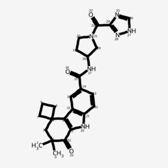 CC1(C)CC2(CCC2)c2c([nH]c3ccc(C(=O)NC4CCN(C(=O)c5nc[nH]n5)C4)cc23)C1=O